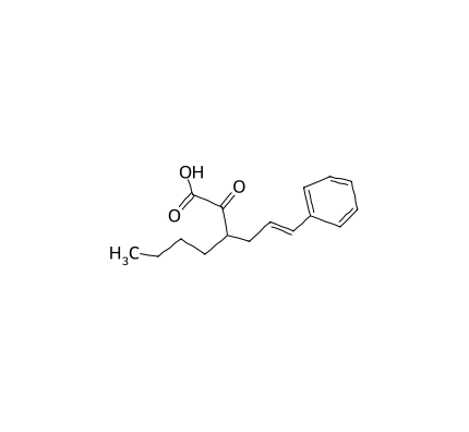 CCCCC(CC=Cc1ccccc1)C(=O)C(=O)O